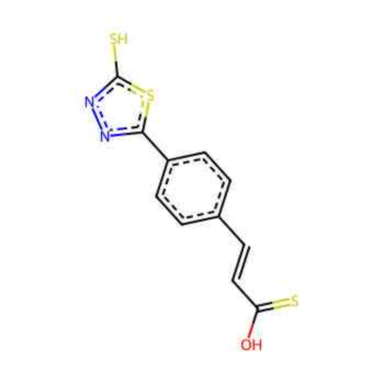 OC(=S)C=Cc1ccc(-c2nnc(S)s2)cc1